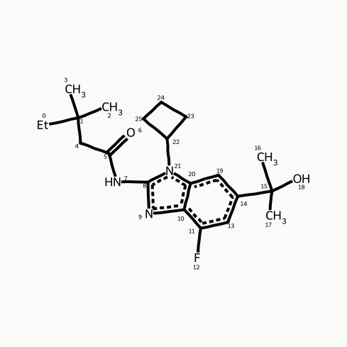 CCC(C)(C)CC(=O)Nc1nc2c(F)cc(C(C)(C)O)cc2n1C1CCC1